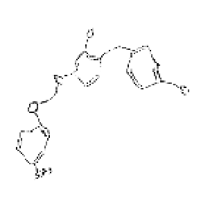 Sc1ccc(OCCc2ccc(Cc3ccc(Cl)cc3)c(Cl)c2)cc1